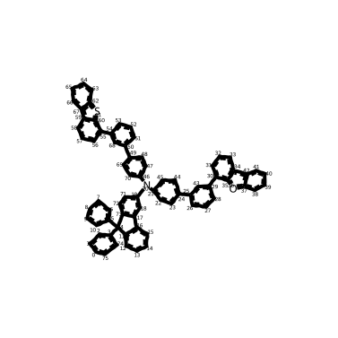 c1ccc(C2(c3ccccc3)c3ccccc3-c3cc(N(c4ccc(-c5cccc(-c6cccc7c6oc6ccccc67)c5)cc4)c4ccc(-c5cccc(-c6cccc7c6sc6ccccc67)c5)cc4)ccc32)cc1